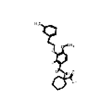 COc1ccc(C(=O)NC2(C(=O)O)CCCCCC2)c(F)c1OCCc1cccc(C)c1